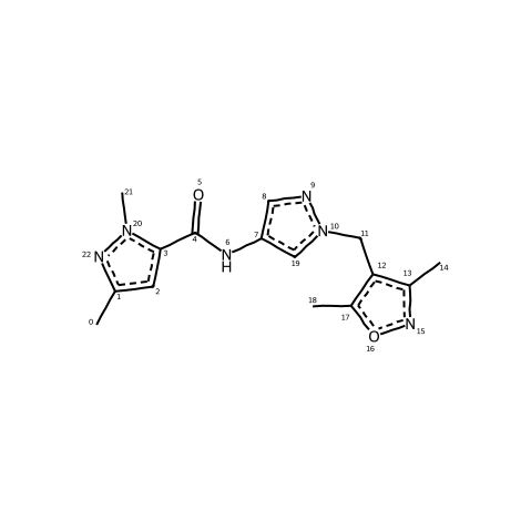 Cc1cc(C(=O)Nc2cnn(Cc3c(C)noc3C)c2)n(C)n1